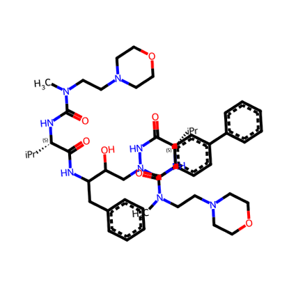 CC(C)[C@H](NC(=O)N(C)CCN1CCOCC1)C(=O)NC(Cc1ccccc1)C(O)CN(Cc1ccc(-c2ccccc2)cc1)NC(=O)[C@@H](NC(=O)N(C)CCN1CCOCC1)C(C)C